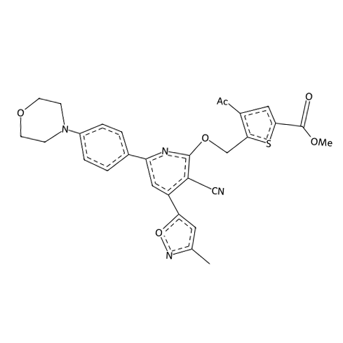 COC(=O)c1cc(C(C)=O)c(COc2nc(-c3ccc(N4CCOCC4)cc3)cc(-c3cc(C)no3)c2C#N)s1